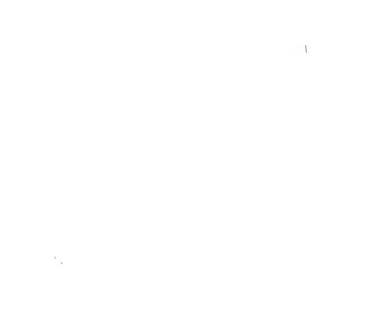 CC1(C)c2cc(/C=C/c3ccc4c(c3)-c3ccccc3[Si]43CCCC3)ccc2-c2ccc(/C=C/c3ccc4c(c3)-c3ccccc3[Si]43CCCC3)cc21